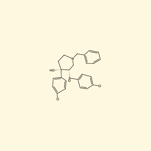 O=C(c1ccc(Cl)cc1)[C@H]1CN(Cc2ccccc2)CC[C@]1(O)c1ccc(Cl)cc1